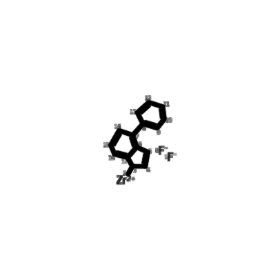 [F-].[F-].[Zr+2][CH]1C=Cc2c(-c3ccccc3)cccc21